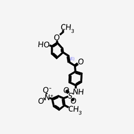 CCOc1cc(/C=C/C(=O)c2ccc(NS(=O)(=O)c3cc([N+](=O)[O-])ccc3C)cc2)ccc1O